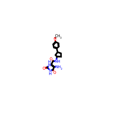 COc1ccc(C2CCC(NC(=O)c3[nH]c(=O)[nH]c(=O)c3N)C2)cc1